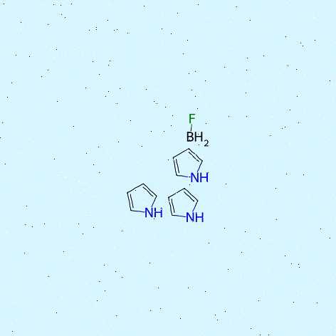 BF.c1cc[nH]c1.c1cc[nH]c1.c1cc[nH]c1